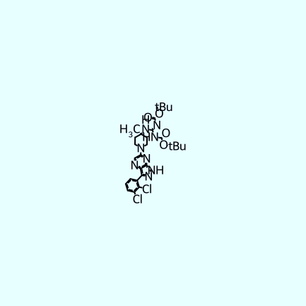 CC1(N/C(=N\C(=O)OC(C)(C)C)NC(=O)OC(C)(C)C)CCN(c2cnc3c(-c4cccc(Cl)c4Cl)n[nH]c3n2)CC1